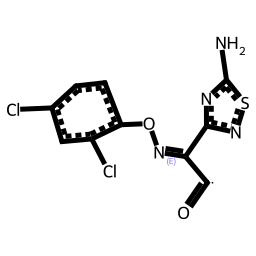 Nc1nc(/C([C]=O)=N\Oc2ccc(Cl)cc2Cl)ns1